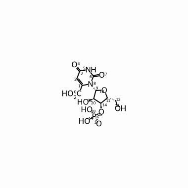 O=C(O)c1cc(=O)[nH]c(=O)n1[C@@H]1O[C@H](CO)[C@@H](OP(=O)(O)O)[C@H]1O